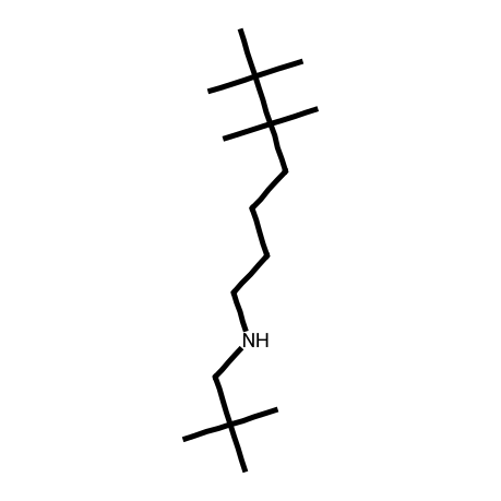 CC(C)(C)CNCCCCC(C)(C)C(C)(C)C